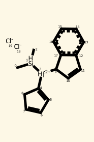 C[SiH](C)[Hf+2]([C]1=CC=CC1)[CH]1C=Cc2ccccc21.[Cl-].[Cl-]